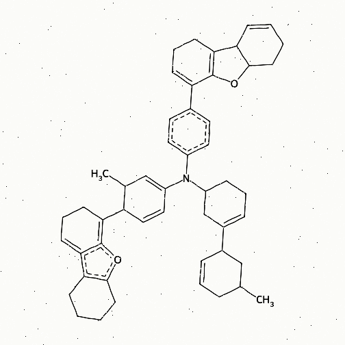 CC1CC=CC(C2=CCCC(N(C3=CC(C)C(C4=c5oc6c(c5=CCC4)CCCC6)C=C3)c3ccc(C4=CCCC5=C4OC4CCC=CC54)cc3)C2)C1